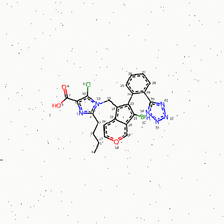 CCCCc1nc(C(=O)O)c(Cl)n1Cc1c2ccocc-2c(Br)c1-c1ccccc1-c1nnn[nH]1